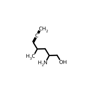 C=C=CC(C)CC(N)CO